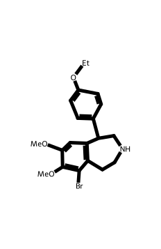 CCOc1ccc(C2CNCCc3c2cc(OC)c(OC)c3Br)cc1